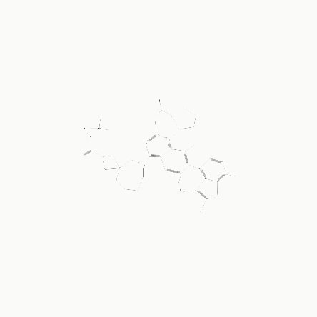 C[C@H](Oc1nc(N2CCCCC3(CN(C(=O)[C@@H]4CC4(F)F)C3)C2)c2cc(Cl)c(-c3ccc(F)c4sc(N)c(C#N)c34)c(F)c2n1)[C@@H]1CCCN1C